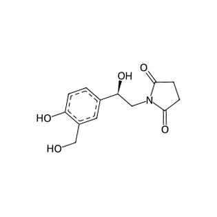 O=C1CCC(=O)N1C[C@H](O)c1ccc(O)c(CO)c1